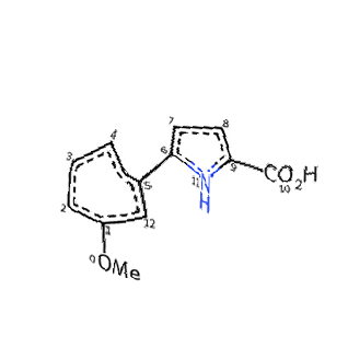 COc1cccc(-c2ccc(C(=O)O)[nH]2)c1